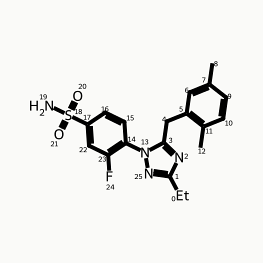 CCc1nc(Cc2cc(C)ccc2C)n(-c2ccc(S(N)(=O)=O)cc2F)n1